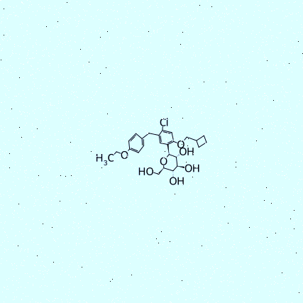 CCOc1ccc(Cc2cc([C@@H]3O[C@H](CO)[C@@H](O)[C@H](O)[C@H]3O)c(OCC3CCC3)cc2Cl)cc1